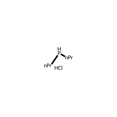 CCCPCCC.Cl